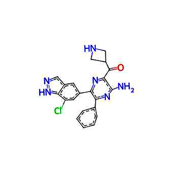 Nc1nc(-c2ccccc2)c(-c2cc(Cl)c3[nH]ncc3c2)nc1C(=O)C1CNC1